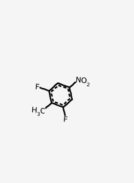 Cc1c(F)cc([N+](=O)[O-])cc1F